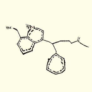 CNCCC(c1ccccc1)c1c[nH]c2c(Br)cccc12